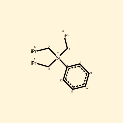 CC(C)C[Si](CC(C)C)(CC(C)C)c1ccccc1